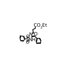 CCOC(=O)CCc1nc(NS(=O)(=O)c2ccccc2)c(-c2ccccc2)o1